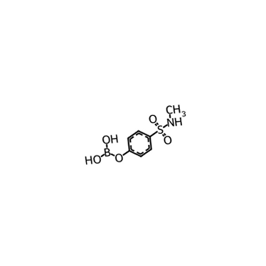 CNS(=O)(=O)c1ccc(OB(O)O)cc1